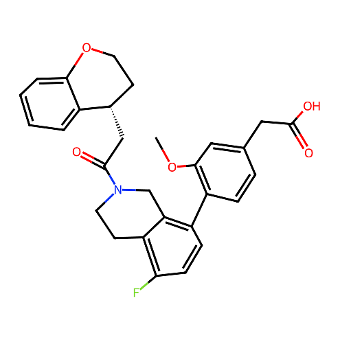 COc1cc(CC(=O)O)ccc1-c1ccc(F)c2c1CN(C(=O)C[C@H]1CCOc3ccccc31)CC2